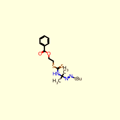 CC(C)(C)N=NC(C)(C)NC(=S)SCCOC(=O)c1ccccc1